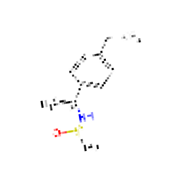 C[C@H](N[S+]([O-])C(C)(C)C)c1ccc(CC(F)(F)F)cc1